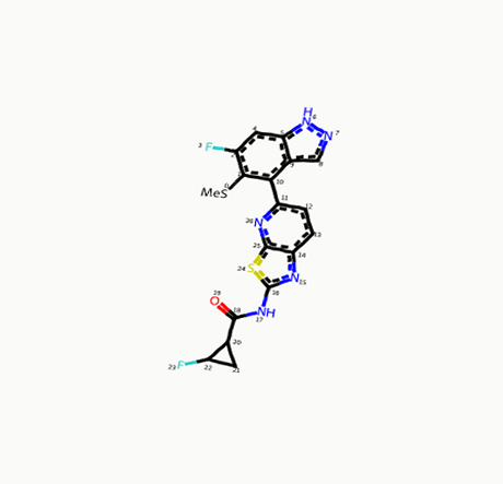 CSc1c(F)cc2[nH]ncc2c1-c1ccc2nc(NC(=O)C3CC3F)sc2n1